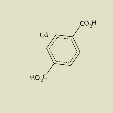 O=C(O)c1ccc(C(=O)O)cc1.[Cd]